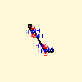 O=C(CC1NC(=O)C(Cc2ccccc2)NC1=O)NCCCCCCNC(=O)CC1NC(=O)C(Cc2ccccc2)NC1=O